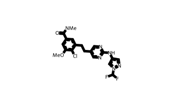 CNC(=O)c1cc(CCc2cnc(Nc3cnn(C(F)F)c3)nc2)c(Cl)c(OC)c1